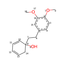 COc1ccc(CCC2(O)C=CC=CC2)cc1OC